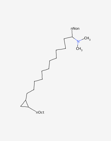 CCCCCCCCCC(CCCCCCCCCCCC1CC1CCCCCCCC)N(C)C